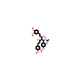 COc1ccc(C=CC(=O)C(C(=O)C=Cc2ccc(OC)c(OC)c2)C(NC(C)=O)c2ccc(Cl)cc2Cl)cc1OC